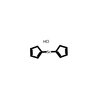 C1=CC[C]([Sc][C]2=CC=CC2)=C1.Cl